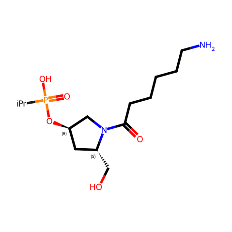 CC(C)P(=O)(O)O[C@@H]1C[C@@H](CO)N(C(=O)CCCCCN)C1